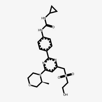 C[C@H]1COCCN1c1cc(CS(=O)(=O)CCO)nc(-c2ccc(NC(=O)NC3CC3)cc2)n1